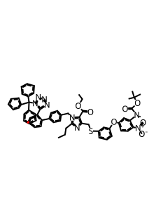 CCCc1nc(CSc2cccc(Oc3ccc([N+](=O)[O-])c(N(C)C(=O)OC(C)(C)C)c3)c2)c(C(=O)OCC)n1Cc1ccc(-c2ccccc2-c2nnnn2C(c2ccccc2)(c2ccccc2)c2ccccc2)cc1